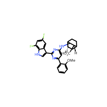 COc1ccccc1-c1cc(N[C@H]2C3CCC(CC3)[C@@H]2C(=O)O)nc(-c2c[nH]c3c(F)cc(F)cc23)n1